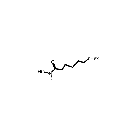 CCCCCCCCCCCC(=O)N(O)Cl